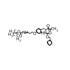 COC(=O)[C@H](Cc1ccc(OCCCCNC(=O)OC(C)(C)C)cc1)NC(=O)OCc1ccccc1